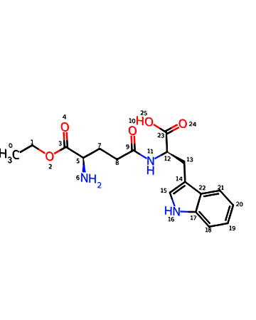 CCOC(=O)[C@H](N)CCC(=O)N[C@H](Cc1c[nH]c2ccccc12)C(=O)O